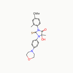 COc1ccc(N2C(=O)C(C)(O)N(c3ccc(N4CCOCC4)cc3)C2=S)c(C)c1